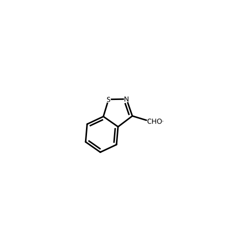 O=[C]c1nsc2ccccc12